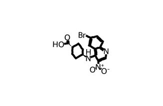 O=C(O)[C@H]1CC[C@H](Nc2c([N+](=O)[O-])cnc3ccc(Br)cc23)CC1